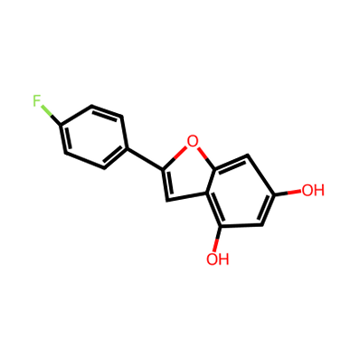 Oc1cc(O)c2cc(-c3ccc(F)cc3)oc2c1